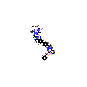 CCCN(Cc1nc(C(F)(F)F)c(-c2ccc(-c3ccc(-c4cnc([C@@H]5CCCN5C(=O)OCc5ccccc5)[nH]4)cc3)cc2)[nH]1)C(=O)[C@H](C)NC(=O)OC